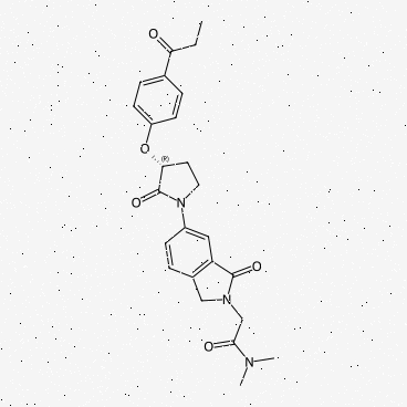 CCC(=O)c1ccc(O[C@@H]2CCN(c3ccc4c(c3)C(=O)N(CC(=O)N(C)C)C4)C2=O)cc1